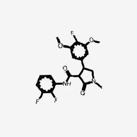 COc1cc(C2CN(C)C(=O)C2C(=O)Nc2cccc(F)c2F)cc(OC)c1F